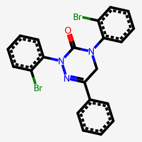 O=C1N(c2ccccc2Br)CC(c2ccccc2)=NN1c1ccccc1Br